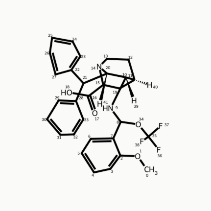 COc1ccccc1C(N[C@H]1[C@H]2CCN(C(C(=O)O)C2)[C@H]1C(c1ccccc1)c1ccccc1)OC(F)(F)F